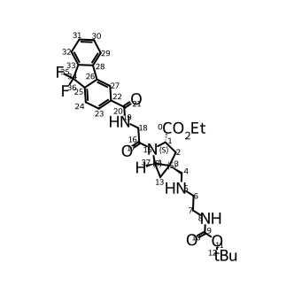 CCOC(=O)[C@@H]1C[C@]2(CNCCNC(=O)OC(C)(C)C)C[C@@H]2N1C(=O)CNC(=O)c1ccc2c(c1)-c1ccccc1C2(F)F